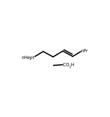 CC(=O)O.CCCC=CCCCCCCCCC